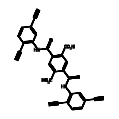 C#Cc1ccc(C#C)c(NC(=O)c2cc(C(=O)O)c(C(=O)Nc3cc(C#C)ccc3C#C)cc2C(=O)O)c1